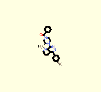 [C-]#[N+]c1ccc(-c2nnc(N3CCN(C(=O)c4ccccc4)C[C@H]3C)c3ncccc23)cc1